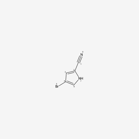 N#Cc1cc(Br)c[nH]1